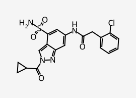 NS(=O)(=O)c1cc(NC(=O)Cc2ccccc2Cl)cc2nn(C(=O)C3CC3)cc12